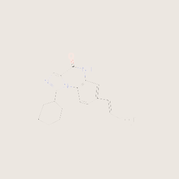 CCOC(=O)/C=C/c1ccc2c(c1)[nH]c(=O)c1cnc(C3CCCCC3)n12